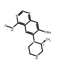 COc1cc2ncnc(NF)c2cc1N1CCNC[C@@H]1C